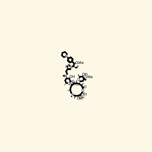 CC[C@H]1OC(=O)[C@H](C)[C@@H](C2C[C@@](C)(OC)[C@@H](O)[C@H](C)O2)[C@H](C)[C@@H](O[C@@H]2O[C@H](C)C[C@H](N(C)CCc3cn([C@H](CF)[C@H](OC)c4ccc(N5CCCCC5)cc4)nn3)[C@H]2O)[C@](C)(O)C[C@@H](C)CN(C)[C@H](C)[C@@H](O)[C@]1(C)O